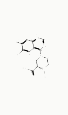 NC(=O)C1CN(c2ncnc3cc(Cl)c(Br)cc23)CCN1C(=O)O